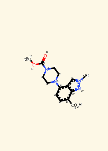 CCn1cc2c(N3CCN(C(=O)OC(C)(C)C)CC3)ccc(C(=O)O)c2n1